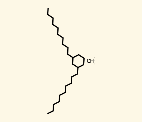 CCCCCCCCCCC1CCCC(CCCCCCCCCC)C1.[CH]